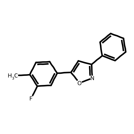 Cc1ccc(-c2cc(-c3ccccc3)no2)cc1F